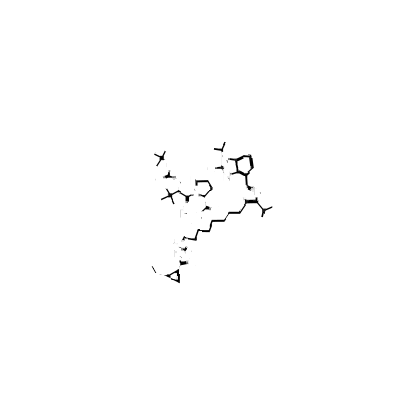 CC[C@@H]1C[C@@H]1C(=O)NS(=O)(=O)CCCCCCCCc1sc(-c2cccc3c2nc(O[C@@H]2C[C@@H](C(N)=O)N(C(=O)[C@@H](NC(=O)OC(C)(C)C)C(C)(C)C)C2)n3C(C)C)nc1C(C)C